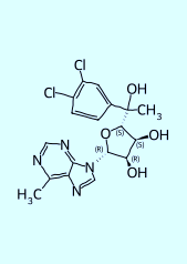 Cc1ncnc2c1ncn2[C@@H]1O[C@H](C(C)(O)c2ccc(Cl)c(Cl)c2)[C@@H](O)[C@H]1O